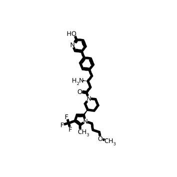 COCCCn1c([C@@H]2CCCN(C(=O)C[C@H](N)Cc3ccc(-c4ccc(O)nc4)cc3)C2)cc(C(F)(F)F)c1C